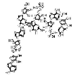 Nc1nc2c(ncn2[C@@H]2O[C@H](CO)[C@@H](O)[C@H]2O)c(=O)[nH]1.Nc1nc2c(ncn2[C@@H]2O[C@H](COP(=O)(O)O)[C@@H](O)[C@H]2O)c(=O)[nH]1.Nc1ncnc2c1ncn2[C@@H]1O[C@H](CO)[C@@H](O)[C@H]1O.Nc1ncnc2c1ncn2[C@@H]1O[C@H](COP(=O)(O)O)[C@@H](O)[C@H]1O.O=c1ccn([C@@H]2O[C@H](CO)[C@@H](O)[C@H]2O)c(=O)[nH]1.OC[C@H]1O[C@@H](n2cnc3c(O)ncnc32)[C@H](O)[C@@H]1O